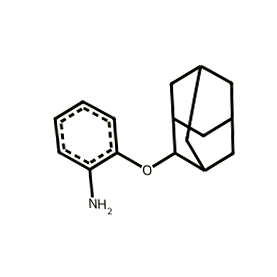 Nc1ccccc1OC1C2CC3CC(C2)CC1C3